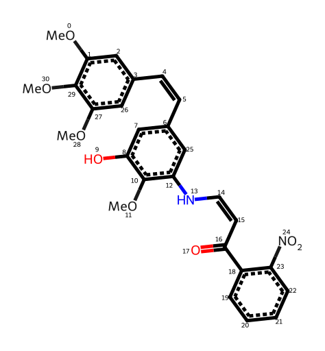 COc1cc(/C=C\c2cc(O)c(OC)c(N/C=C\C(=O)c3ccccc3[N+](=O)[O-])c2)cc(OC)c1OC